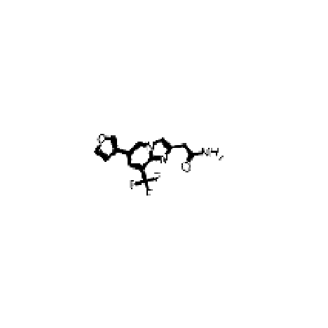 NC(=O)Cc1cn2cc(-c3ccoc3)cc(C(F)(F)F)c2n1